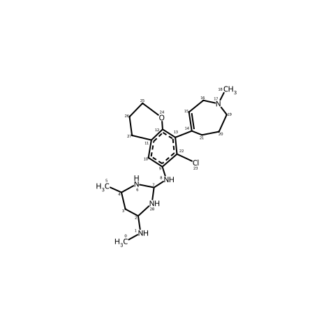 CNC1CC(C)NC(Nc2cc3c(c(C4=CCN(C)CCC4)c2Cl)OCCC3)N1